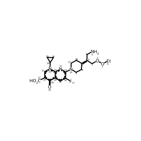 CCOOCC(CN)=C1CCN(c2nc3c(cc2F)c(=O)c(C(=O)O)cn3C2CC2)CC1